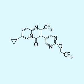 O=c1c(-c2cnc(OCC(F)(F)F)nc2)c(C(F)(F)F)nc2ccc(C3CC3)cn12